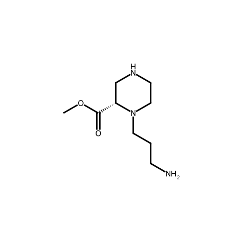 COC(=O)[C@@H]1CNCCN1CCCN